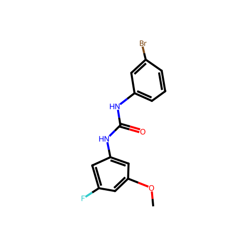 COc1cc(F)cc(NC(=O)Nc2cccc(Br)c2)c1